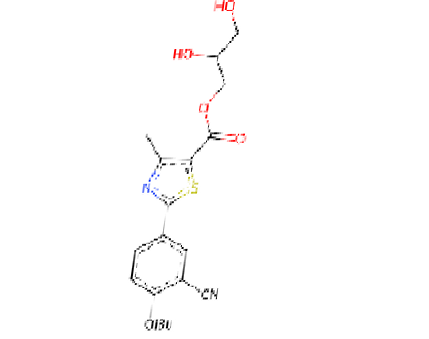 Cc1nc(-c2ccc(OCC(C)C)c(C#N)c2)sc1C(=O)OCC(O)CO